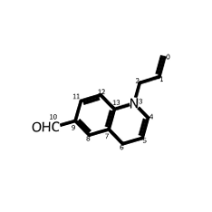 C=CCN1C=CCc2cc(C=O)ccc21